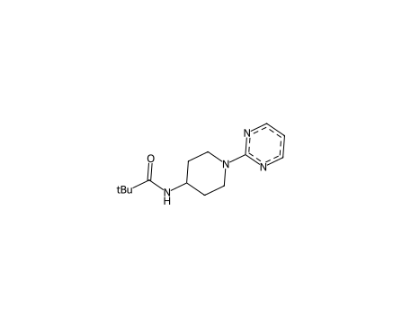 CC(C)(C)C(=O)NC1CCN(c2ncccn2)CC1